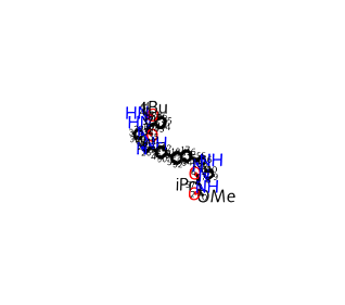 COC(=O)NC(C(=O)N1CCC[C@H]1c1nc(-c2ccc3cc(-c4ccc(-c5cnc([C@@H]6CCCN6C(=O)[C@H](NC(=O)NC(C)(C)C)c6ccccc6)[nH]5)cc4)ccc3c2)c[nH]1)C(C)C